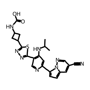 CC(C)Nc1cc(-c2ccc3cc(C#N)cnn23)ncc1-c1nnc(C2CC(NC(=O)O)C2)s1